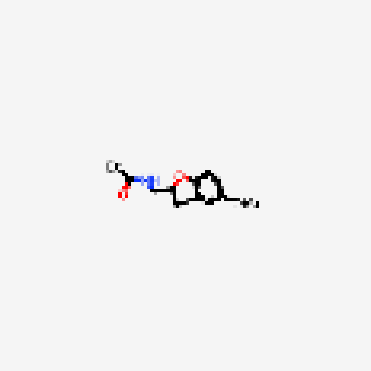 CCC(=O)NCC1Cc2cc(OC)ccc2O1